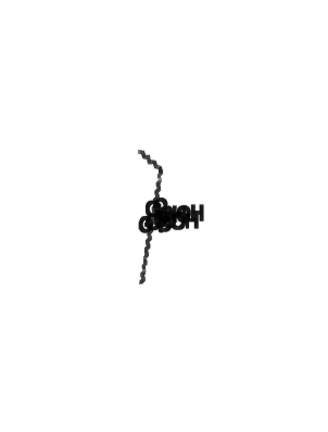 CCCCCCC/C=C\CCCCCCCC(=O)O[C@H](COC(=O)CCCCCCCCCCCCCC)COP(=O)(O)OC[C@@H](O)CO